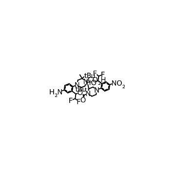 CC(C)(C)C1(C)CN(c2ccc(N)cc2C(OC(=O)N2CCN(c3ccc([N+](=O)[O-])cc3C(O)C(F)F)C[C@@]2(C)C(C)(C)C)C(F)F)CCN1C(=O)O